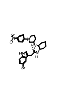 O=C(Cc1c[nH]c2ccc(Br)cc12)N[C@@H]1CCCC[C@H]1NC1CCCN(c2ccc([N+](=O)[O-])cc2)C1